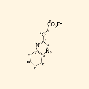 CCOC(=O)COc1cnc2c(n1)CCCC2